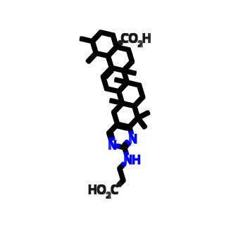 CC1CCC2(C(=O)O)CCC3(C)C(=CCC4C5(C)Cc6cnc(NCCC(=O)O)nc6C(C)(C)C5CCC43C)C2C1C